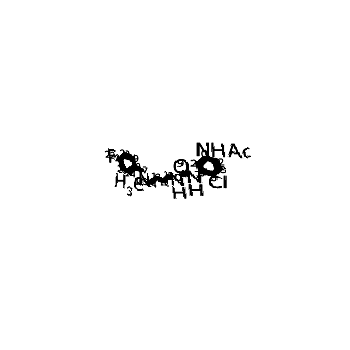 CC(=O)Nc1ccc(Cl)c(NC(=O)NCCCCN(C)Cc2ccc(F)cc2)c1